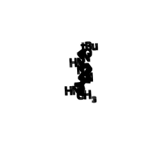 CN1C=C(c2cnc3ccc(Nc4cc(C(C)(C)C)on4)nc3c2)CN1